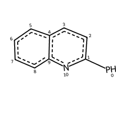 Pc1ccc2ccccc2n1